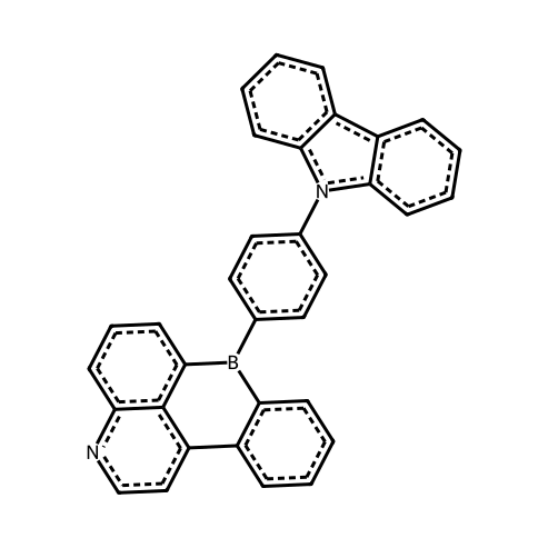 c1ccc2c(c1)B(c1ccc(-n3c4ccccc4c4ccccc43)cc1)c1cccc3nccc-2c13